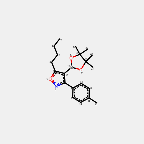 CCCCc1onc(-c2ccc(C)cc2)c1B1OC(C)(C)C(C)(C)O1